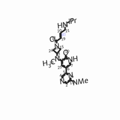 CNc1cncc(-c2c[nH]c(=O)c(N(C)C3CN(C(=O)/C=C/CNC(C)C)C3)c2)n1